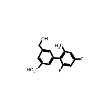 Cc1cc(F)cc(F)c1-c1cc(CO)cc(C(=O)O)c1